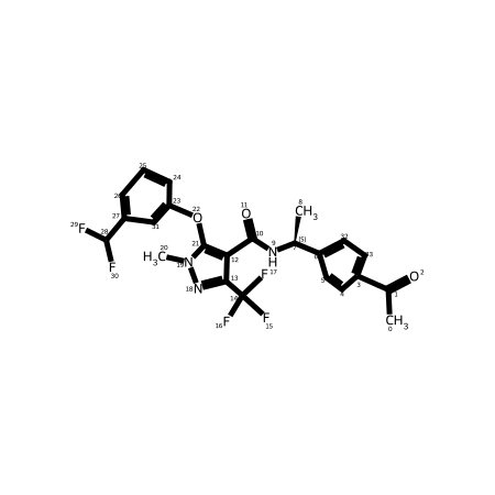 CC(=O)c1ccc([C@H](C)NC(=O)c2c(C(F)(F)F)nn(C)c2Oc2cccc(C(F)F)c2)cc1